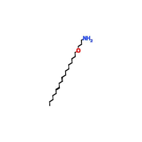 CCCCCC=CCC=CCCCCCCCCOCCCN